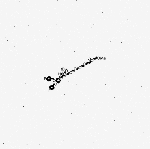 COCCCOC(=O)CCCOCCOCCOCCOCCN(C[C@@H](O)COc1ccc(OCc2ccc(F)cc2)c(OCc2ccc(F)cc2)c1)C(=O)OC(C)(C)C